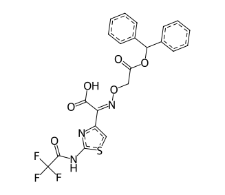 O=C(CON=C(C(=O)O)c1csc(NC(=O)C(F)(F)F)n1)OC(c1ccccc1)c1ccccc1